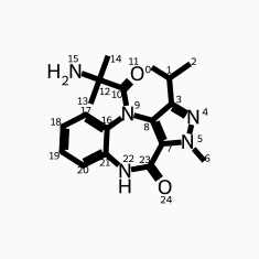 CC(C)c1nn(C)c2c1N(C(=O)C(C)(C)N)c1ccccc1NC2=O